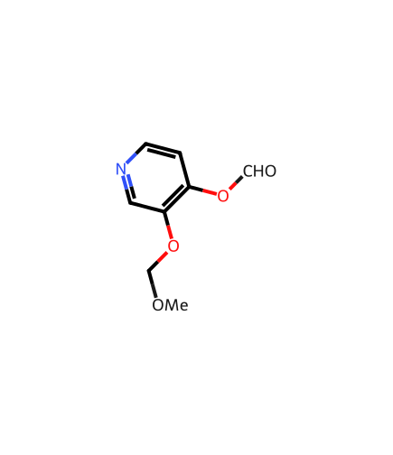 COCOc1cnccc1OC=O